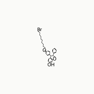 Oc1ccc2c(c1)OCC(c1ccccc1)C2c1ccc(OCCCCCCCCCCBr)cc1